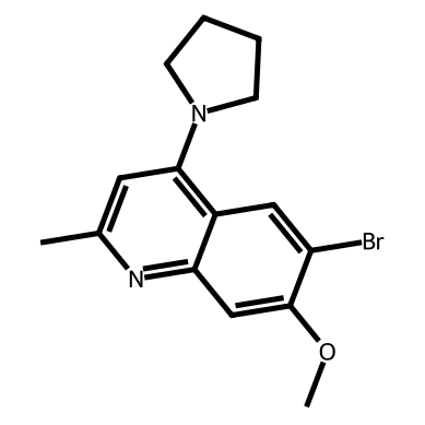 COc1cc2nc(C)cc(N3CCCC3)c2cc1Br